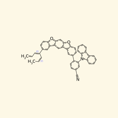 C=C/C=C(\C=C/C)c1ccc2oc3cc4oc5ccc(-c6ccc(C#N)cc6-n6c7ccccc7c7ccccc76)cc5c4cc3c2c1